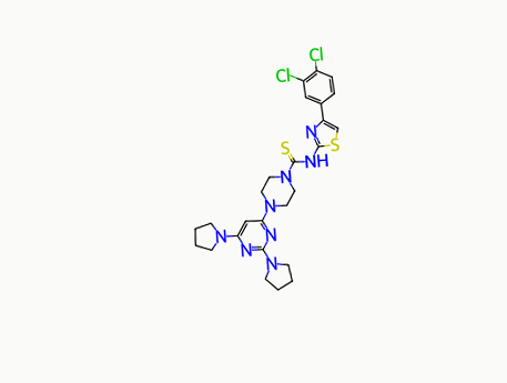 S=C(Nc1nc(-c2ccc(Cl)c(Cl)c2)cs1)N1CCN(c2cc(N3CCCC3)nc(N3CCCC3)n2)CC1